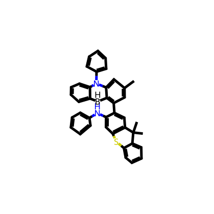 Cc1cc(-c2cc3c(cc2Nc2ccccc2)Sc2ccccc2C3(C)C)c2c(c1)N(c1ccccc1)c1ccccc1B2